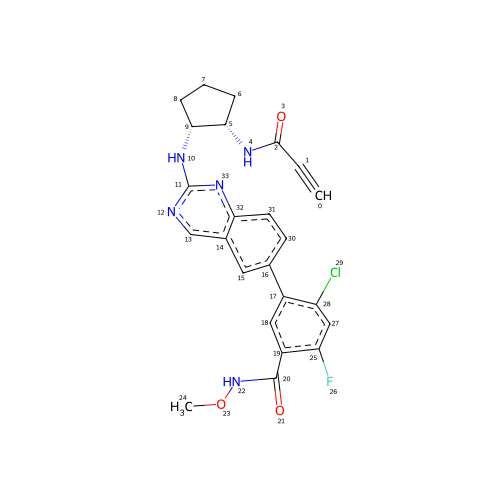 C#CC(=O)N[C@H]1CCC[C@H]1Nc1ncc2cc(-c3cc(C(=O)NOC)c(F)cc3Cl)ccc2n1